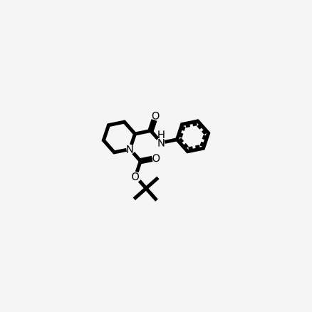 CC(C)(C)OC(=O)N1CCCCC1C(=O)Nc1ccccc1